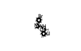 C[C@@H](OC(=O)Nc1ccnn1-c1ccc(Br)cc1)c1ccccc1Cl